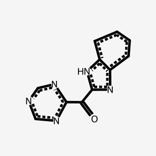 O=C(c1ncncn1)c1nc2ccccc2[nH]1